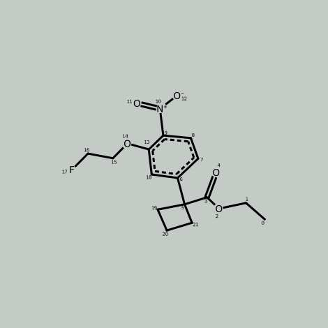 CCOC(=O)C1(c2ccc([N+](=O)[O-])c(OCCF)c2)CCC1